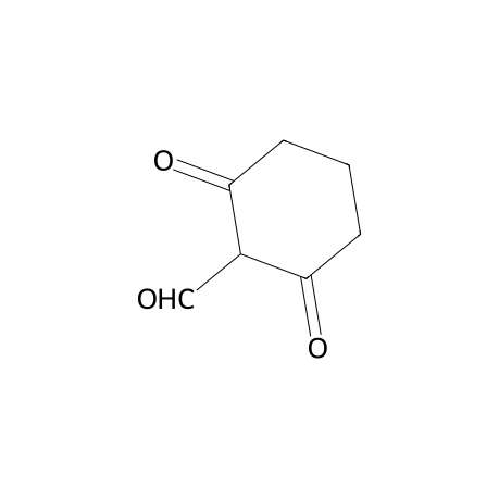 O=CC1C(=O)CCCC1=O